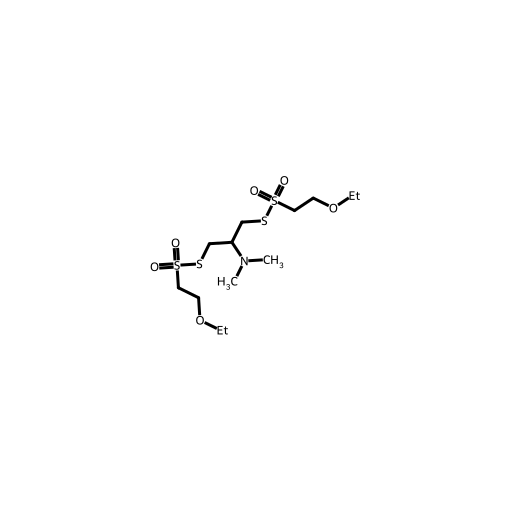 CCOCCS(=O)(=O)SCC(CSS(=O)(=O)CCOCC)N(C)C